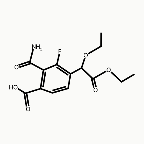 CCOC(=O)C(OCC)c1ccc(C(=O)O)c(C(N)=O)c1F